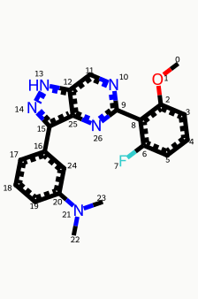 COc1cccc(F)c1-c1ncc2[nH]nc(-c3cccc(N(C)C)c3)c2n1